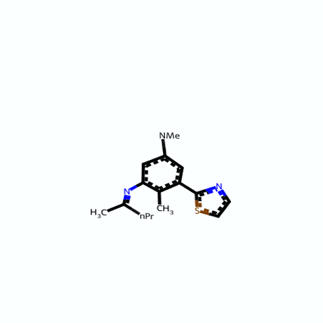 CCC/C(C)=N\c1cc(NC)cc(-c2nccs2)c1C